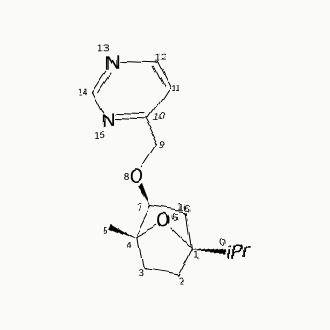 CC(C)[C@@]12CC[C@@](C)(O1)[C@@H](OCc1ccncn1)C2